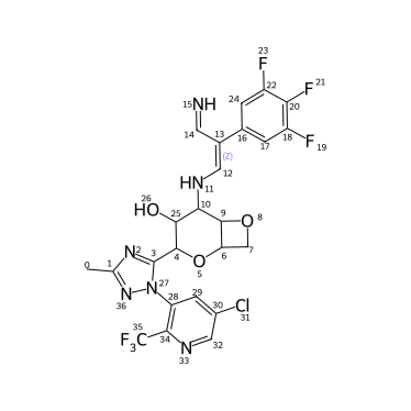 Cc1nc(C2OC3COC3C(N/C=C(\C=N)c3cc(F)c(F)c(F)c3)C2O)n(-c2cc(Cl)cnc2C(F)(F)F)n1